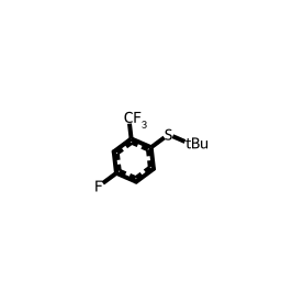 CC(C)(C)Sc1ccc(F)cc1C(F)(F)F